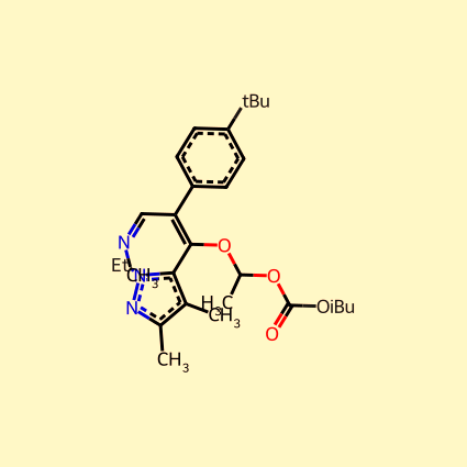 CCn1nc(C)c(C)c1/C(OC(C)OC(=O)OCC(C)C)=C(\C=N/C)c1ccc(C(C)(C)C)cc1